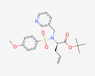 C=CC[C@H](C(=O)OC(C)(C)C)N(Cc1cccnc1)S(=O)(=O)c1ccc(OC)cc1